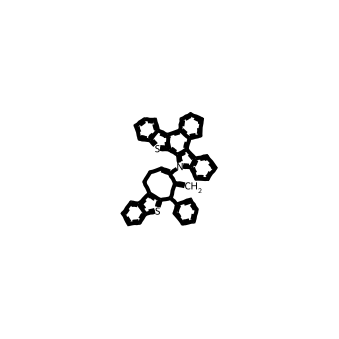 C=C1/C(n2c3ccccc3c3c4ccccc4c4c5ccccc5sc4c32)=C\CCc2c(sc3ccccc23)C1c1ccccc1